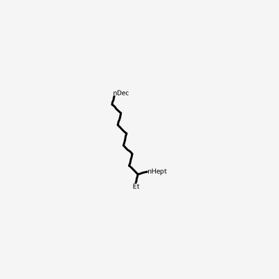 [CH2]CC(CCCCCCC)CCCCCCCCCCCCCCCCC